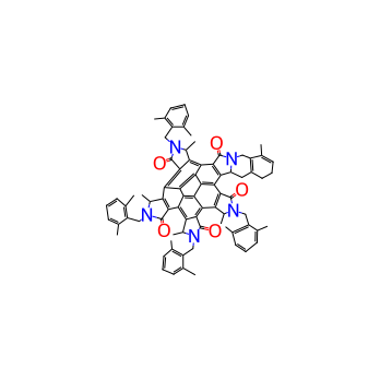 CC1=CCCC2=C1CN1C(=O)c3c(c4c5c(c6c7c(c8c9c(c%10c%11c(c3c3c%10c8c6c43)C(C)N(Cc3c(C)cccc3C)C%11=O)C(C)N(Cc3c(C)cccc3C)C9=O)C(C)N(Cc3c(C)cccc3C)C7=O)C(C)N(Cc3c(C)cccc3C)C5=O)C1C2